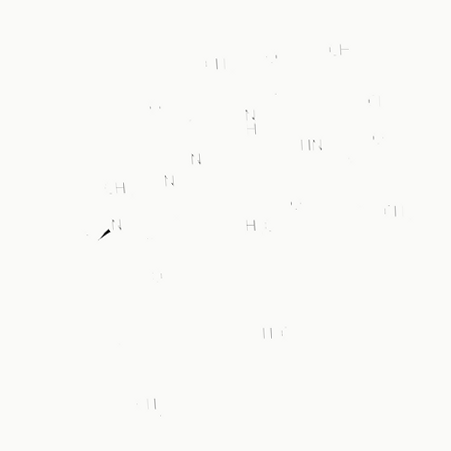 C=CCCC(OC)[C@@H](C)C(=O)NC(C(=O)NC(C)C(=O)N1CCCC(C(=O)N(C)[C@@H]2CCc3ccc(C=C)cc32)N1)C(C)C